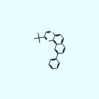 CC(C)(C)c1cnc2ccc3ccc(-c4ccccc4)cc3c2n1